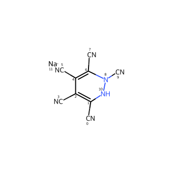 N#CC1=C(C#N)C(C#N)=C(C#N)N(C#N)N1.[Na]